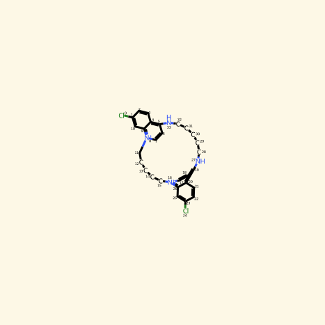 Clc1ccc2c3cc[n+](c2c1)CCCCC[n+]1ccc(c2ccc(Cl)cc21)NCCCCCN3